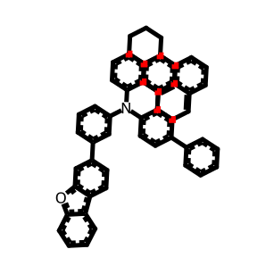 C1=c2cccc(C3CCCCC3)c2=C(c2ccccc2N(c2cccc(-c3ccc4c(c3)oc3ccccc34)c2)c2ccc(-c3ccccc3)cc2-c2ccccc2)CC1